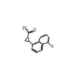 CCC(=O)C1CC1c1cccc2c(Cl)cccc12